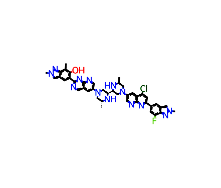 Cc1c(O)c(-c2ncc3cc(N4C[C@@H](C)N[C@H](C5CN(c6cnc7nc(-c8cc(F)c9nn(C)cc9c8)cc(Cl)c7c6)CC(C)N5)C4)cnc3n2)cc2cn(C)nc12